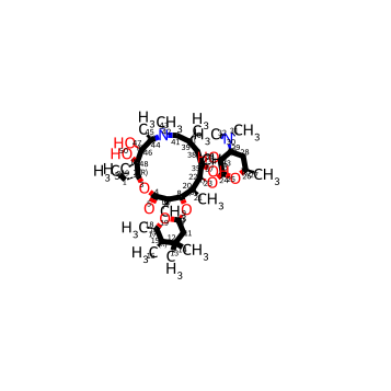 CC[C@H]1OC(=O)[C@H](C)C(O[C@H]2CC(C)(C)[C@@H](C)[C@H](C)O2)[C@H](C)[C@@H](OC2O[C@H](C)C[C@H](N(C)C)[C@H]2O)[C@](C)(O)C[C@@H](C)CN(C)[C@H](C)[C@@H](O)[C@]1(C)O